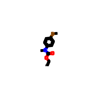 [CH2]COC(=O)N(C)c1ccc(SC)cc1